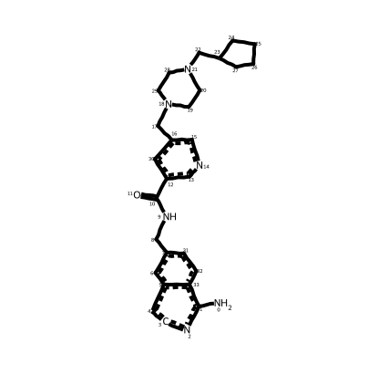 Nc1nccc2cc(CNC(=O)c3cncc(CN4CCN(CC5CCCC5)CC4)c3)ccc12